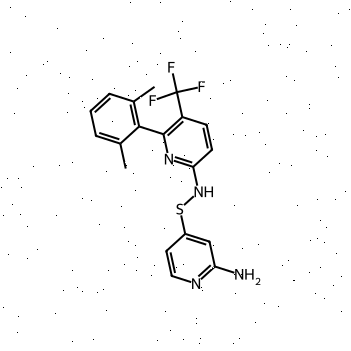 Cc1cccc(C)c1-c1nc(NSc2ccnc(N)c2)ccc1C(F)(F)F